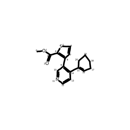 COC(=O)c1sccc1-c1cnccc1C1=CCCCC1